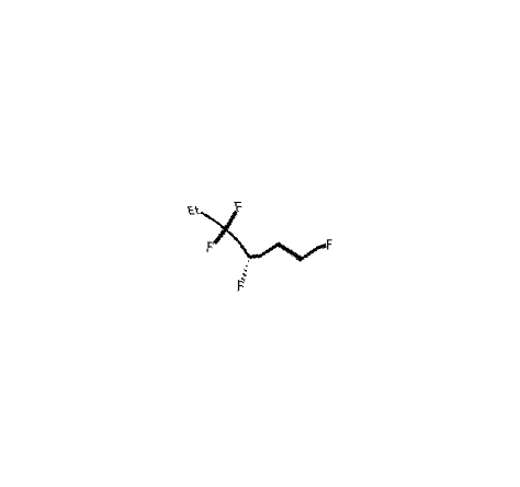 [CH2]CC(F)(F)[C@@H](F)CCF